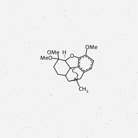 COc1ccc2c3c1O[C@@H]1C(OC)(OC)CCC4C(C2)N(C)CC[C@]341